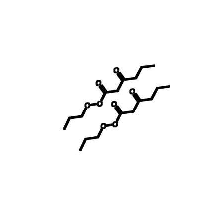 CCCOOC(=O)CC(=O)CCC.CCCOOC(=O)CC(=O)CCC